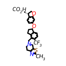 Cc1nc2c(s1)CN(Cc1c(C(F)(F)F)ccc3c1CC[C@H]3Oc1ccc3c(c1)OC[C@H]3CC(=O)O)CC2